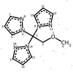 COCC(n1cccn1)(n1cccn1)n1cccn1